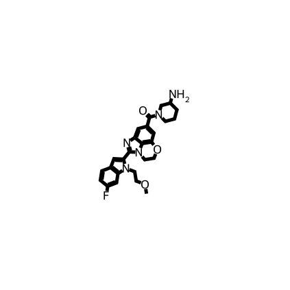 COCCn1c(-c2nc3cc(C(=O)N4CCCC(N)C4)cc4c3n2CCO4)cc2ccc(F)cc21